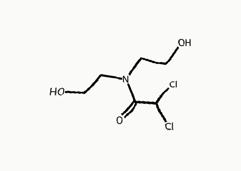 O=C(C(Cl)Cl)N(CCO)CCO